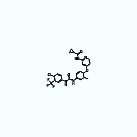 Cc1cc(NC(=O)Nc2ccc(Cl)c(C(F)(F)F)c2)ccc1Oc1ccnc(NC(=O)C2CC2)c1